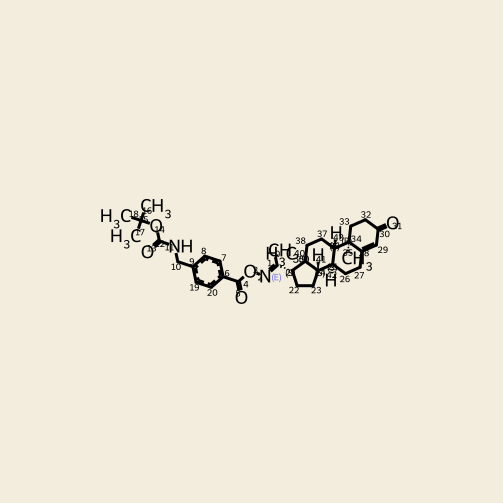 C/C(=N\OC(=O)c1ccc(CNC(=O)OC(C)(C)C)cc1)[C@H]1CC[C@H]2[C@@H]3CCC4=CC(=O)CC[C@]4(C)[C@H]3CC[C@]12C